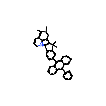 CC1=C2C=CCn3c2c(c2c3-c3ccc(-c4c5ccccc5c(-c5ccccc5)c5ccccc45)cc3C2(C)C)CC1C